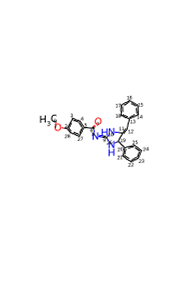 COc1ccc(C(=O)/N=C2\N/C(=C\c3ccccc3)C(c3ccccc3)N2)cc1